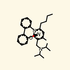 CCCCc1cc(C)c(CN(C(C)C)C(C)C)c(=O)n1-c1ccccc1-c1ccccc1C#N